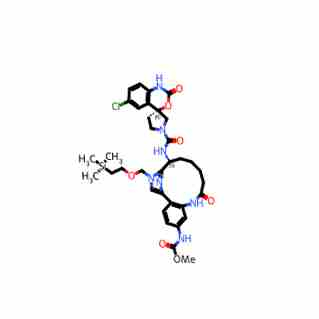 COC(=O)Nc1ccc2c(c1)NC(=O)CCCC[C@H](NC(=O)N1CC[C@@]3(C1)OC(=O)Nc1ccc(Cl)cc13)c1nc-2cn1COCC[Si](C)(C)C